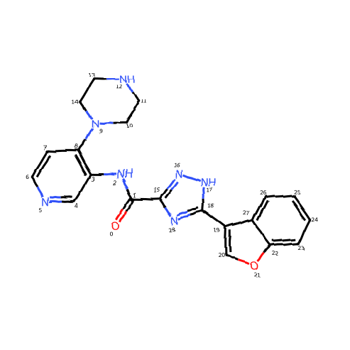 O=C(Nc1cnccc1N1CCNCC1)c1n[nH]c(-c2coc3ccccc23)n1